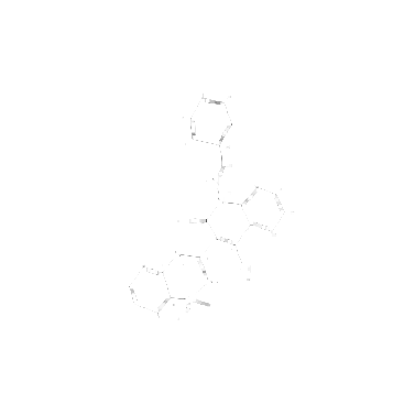 O=c1c(C2=NS(=O)(=O)c3ccccc3N2)c(O)c2ccccc2n1N=Cc1ccccc1